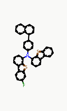 Fc1ccc2c(c1)sc1c(N(c3ccc(-c4cccc5ccccc45)cc3)c3cccc4c3sc3ccccc34)cccc12